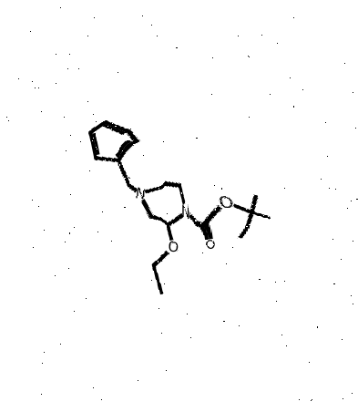 CCOC1CN(Cc2ccccc2)CCN1C(=O)OC(C)(C)C